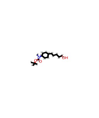 CN(C(=O)OC(C)(C)C)C1CCC(CCCCCO)CC1